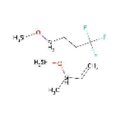 C=C[SiH](C)O[SiH3].FC(F)(F)CC[SiH2]O[SiH3]